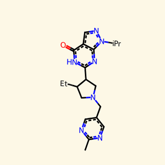 CCC1CN(Cc2cnc(C)nc2)CC1c1nc2c(cnn2C(C)C)c(=O)[nH]1